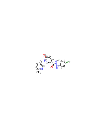 O=C(NNc1ccc(F)cc1F)c1ccc(=O)n(Cc2ccc(C(F)(F)F)nc2)c1